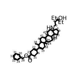 CCC(O)(CC)CCNC12CCC[C@@H]1C1CCC3C4(C)CC=C(C5=CCC(C(=O)OCc6ccccc6)CC5)C(C)C4CC[C@@]3(C)[C@]1(C)CC2